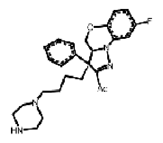 CC(=O)C1=NN2c3cc(F)ccc3OCC2[C@@]1(CCCCN1CCNCC1)c1ccccc1